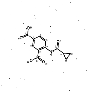 O=C(O)c1ccc(NC(=O)C2CC2)c([N+](=O)[O-])c1